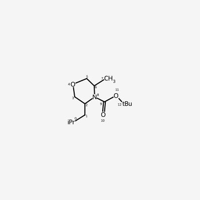 CC(C)CC1COCC(C)N1C(=O)OC(C)(C)C